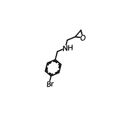 Brc1ccc(CNCC2CO2)cc1